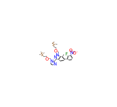 Cc1c(-c2cccc([N+](=O)[O-])c2F)ccc2c(-c3nccn3COCCS(C)(C)C)nn(COCCS(C)(C)C)c12